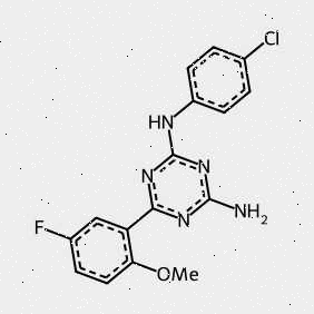 COc1ccc(F)cc1-c1nc(N)nc(Nc2ccc(Cl)cc2)n1